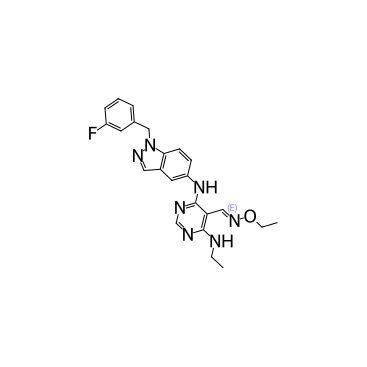 CCNc1ncnc(Nc2ccc3c(cnn3Cc3cccc(F)c3)c2)c1/C=N/OCC